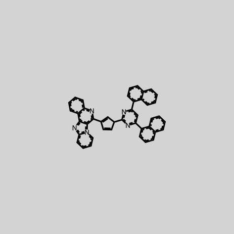 C1=CC(c2nc(-c3cccc4ccccc34)cc(-c3cccc4ccccc34)n2)C=C1c1nc2ccccc2c2nc3ccccn3c12